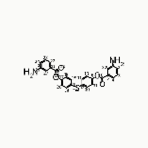 Nc1cccc(C(=O)Oc2ccc(Sc3ccc(OC(=O)c4cccc(N)c4)cc3)cc2)c1